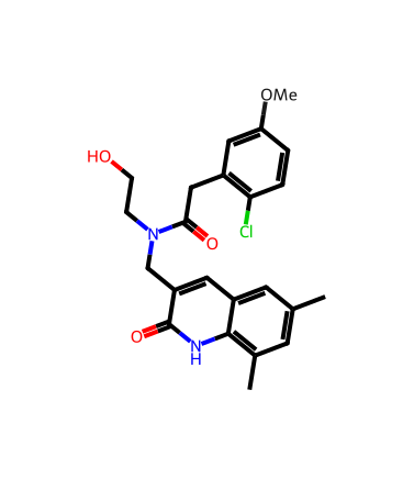 COc1ccc(Cl)c(CC(=O)N(CCO)Cc2cc3cc(C)cc(C)c3[nH]c2=O)c1